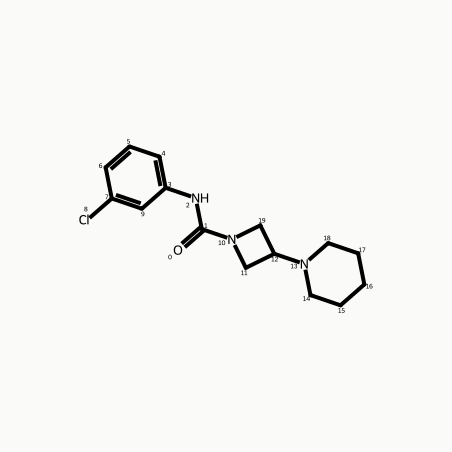 O=C(Nc1cccc(Cl)c1)N1CC(N2CCCCC2)C1